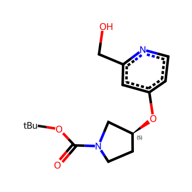 CC(C)(C)OC(=O)N1CC[C@H](Oc2ccnc(CO)c2)C1